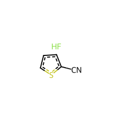 F.N#Cc1cccs1